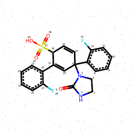 O=C1NCCN1C1(c2ccccc2F)C=CC(S(=O)(=O)O)C(c2ccccc2F)=C1